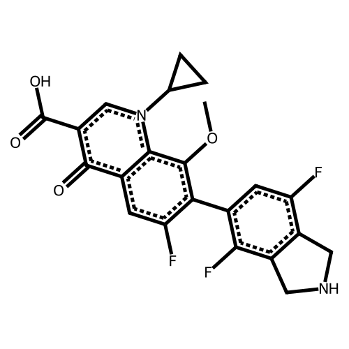 COc1c(-c2cc(F)c3c(c2F)CNC3)c(F)cc2c(=O)c(C(=O)O)cn(C3CC3)c12